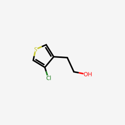 OCCc1cscc1Cl